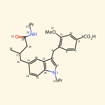 CCCn1cc(Cc2ccc(C(=O)O)cc2OC)c2cc(CC(C)CC(=O)NC(C)C)ccc21